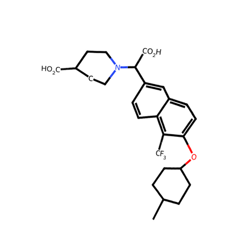 CC1CCC(Oc2ccc3cc(C(C(=O)O)N4CCC(C(=O)O)CC4)ccc3c2C(F)(F)F)CC1